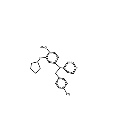 COc1ccc(C(Cc2ccc(C#N)cc2)c2ccncc2)cc1OC1CCCC1